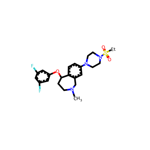 CCS(=O)(=O)N1CCN(c2ccc3c(c2)CN(C)CCC3Oc2cc(F)cc(F)c2)CC1